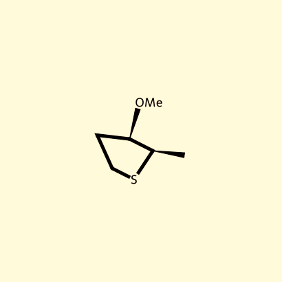 CO[C@@H]1CCS[C@@H]1C